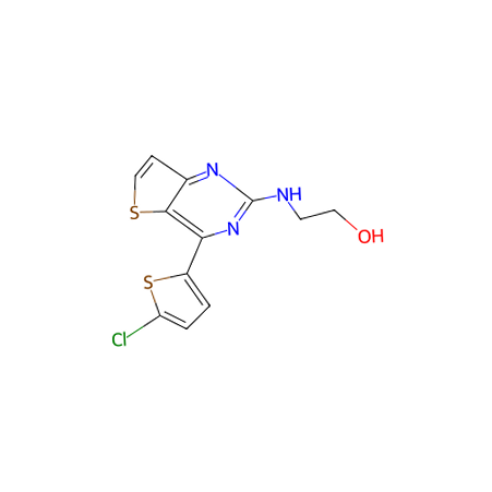 OCCNc1nc(-c2ccc(Cl)s2)c2sccc2n1